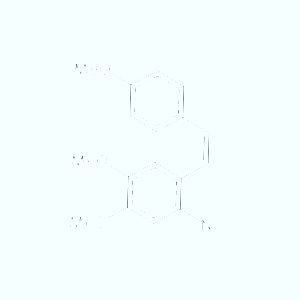 COc1ccc(/C=C\c2cc(OC)c(OC)cc2N)cc1